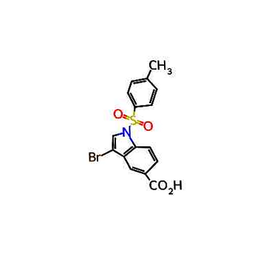 Cc1ccc(S(=O)(=O)n2cc(Br)c3cc(C(=O)O)ccc32)cc1